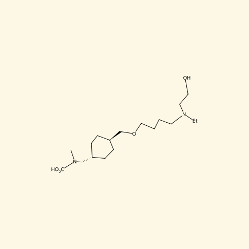 CCN(CCO)CCCCOC[C@H]1CC[C@H](CN(C)C(=O)O)CC1